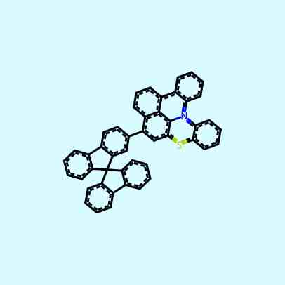 c1ccc2c(c1)-c1ccccc1C21c2ccccc2-c2ccc(-c3cc4sc5ccccc5n5c6ccccc6c6cccc3c6c4-5)cc21